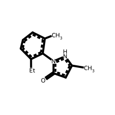 CCc1cccc(C)c1-n1[nH]c(C)cc1=O